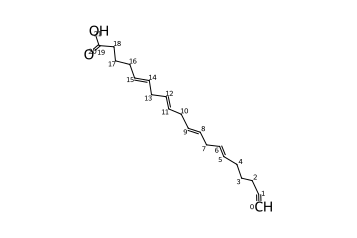 C#CCCCC=CCC=CCC=CCC=CCCCC(=O)O